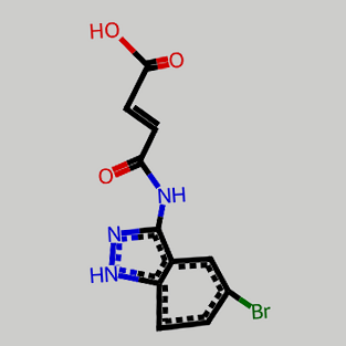 O=C(O)/C=C/C(=O)Nc1n[nH]c2ccc(Br)cc12